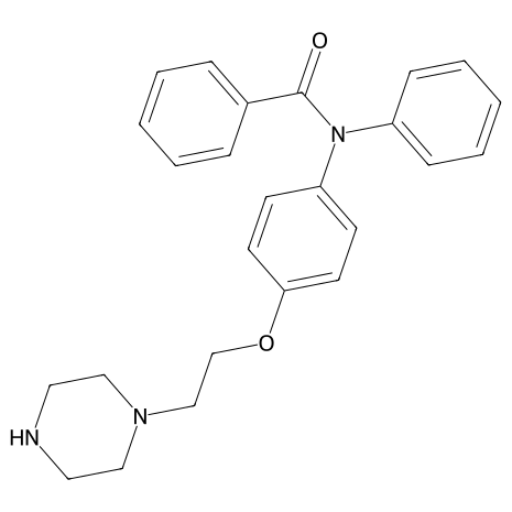 O=C(c1ccccc1)N(c1ccccc1)c1ccc(OCCN2CCNCC2)cc1